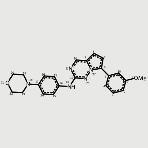 COc1cccc(-c2ccc3cnc(Nc4ccc(N5CCOCC5)cc4)nn23)c1